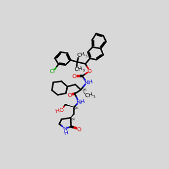 CC(C)(c1cccc(Cl)c1)C(OC(=O)N[C@](C)(CC1CCCCC1)C(=O)N[C@H](CO)C[C@@H]1CCNC1=O)c1ccc2ccccc2c1